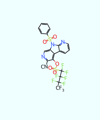 N#Cc1ncc2c(c1OS(=O)(=O)C(F)(F)C(F)(F)C(F)(F)C(F)(F)F)c1cccnc1n2S(=O)(=O)c1ccccc1